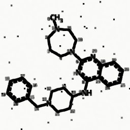 CN1CCCN(c2nc(NC3CCN(Cc4ccccc4)CC3)c3ccccc3n2)CC1